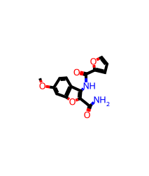 COc1ccc2c(NC(=O)c3ccco3)c(C(N)=O)oc2c1